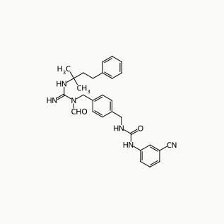 CC(C)(CCc1ccccc1)NC(=N)N(C=O)Cc1ccc(CNC(=O)Nc2cccc(C#N)c2)cc1